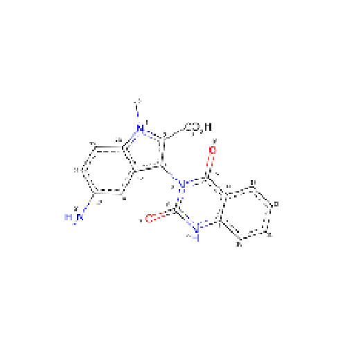 Cn1c(C(=O)O)c(-n2c(=O)[nH]c3ccccc3c2=O)c2cc(N)ccc21